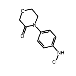 O=C1COCCN1c1ccc(NCl)cc1